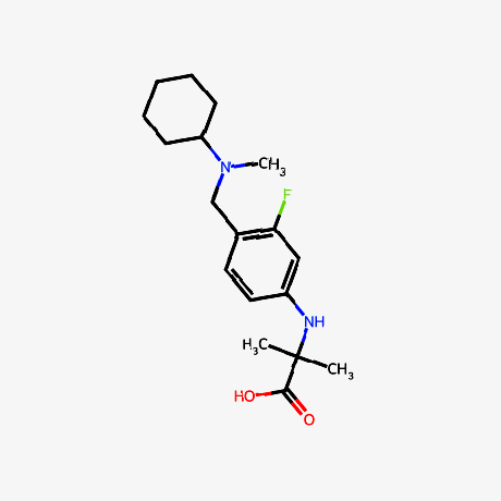 CN(Cc1ccc(NC(C)(C)C(=O)O)cc1F)C1CCCCC1